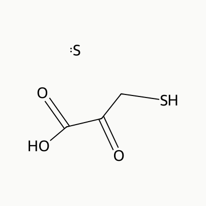 O=C(O)C(=O)CS.[S]